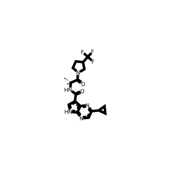 C[C@@H](NC(=O)c1c[nH]c2ncc(C3CC3)nc12)C(=O)N1CCC(C(F)(F)F)C1